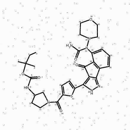 CCC(C)(C)OC(=O)NC1CCN(C(=O)c2ccc(-c3[nH]nc4c3C(=O)c3c-4cccc3N(C(N)=O)N3CCOCC3)s2)C1